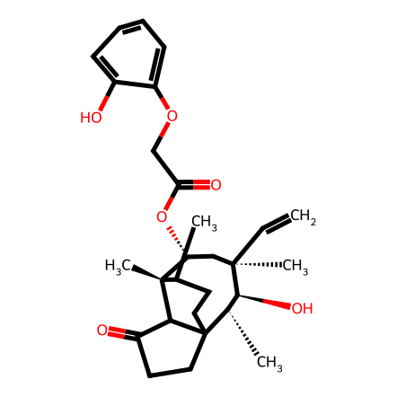 C=C[C@]1(C)C[C@@H](OC(=O)COc2ccccc2O)[C@]2(C)C(C)CCC3(CCC(=O)C32)[C@@H](C)[C@@H]1O